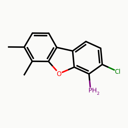 Cc1ccc2c(oc3c(P)c(Cl)ccc32)c1C